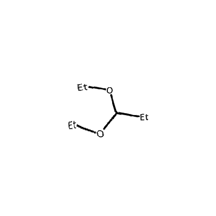 [CH2]CC(OCC)OCC